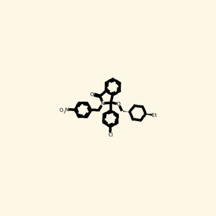 CC[C@H]1CC[C@H](COC2(c3ccc(Cl)cc3)c3ccccc3C(=O)N2Cc2ccc([N+](=O)[O-])cc2)CC1